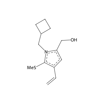 C=Cc1cc(CO)n(CC2CCC2)c1SC